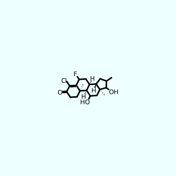 CC1C[C@H]2[C@@H]3CC(F)C4=C(Cl)C(=O)CC[C@]4(C)[C@@H]3C(O)C[C@]2(C)C1O